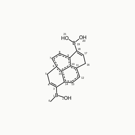 CB(O)C1=CCc2ccc3c4c(ccc1c24)CC=C3B(O)O